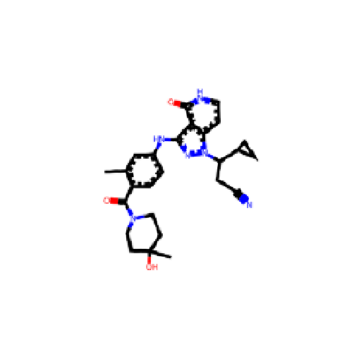 Cc1cc(Nc2nn(C(CC#N)C3CC3)c3cc[nH]c(=O)c23)ccc1C(=O)N1CCC(C)(O)CC1